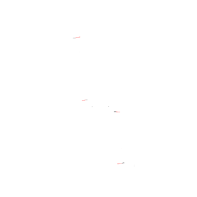 CC(C)(C)C(=O)CCOCCOCCC(=O)C1(C)CCC(C)(C(=O)COCCOCC(=O)C(C)(C)C)CC1